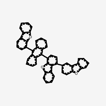 c1ccc2c(c1)oc1ccc(-c3ccc(-c4c5ccccc5c(-c5cccc6c5oc5ccccc56)c5ccccc45)c4oc5ccccc5c34)cc12